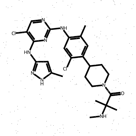 CNC(C)(C)C(=O)N1CCC(c2cc(C)c(Nc3ncc(Cl)c(Nc4cc(C)[nH]n4)n3)cc2Cl)CC1